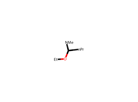 CCCC(NC)OCC